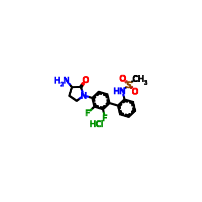 CS(=O)(=O)Nc1ccccc1-c1ccc(N2CCC(N)C2=O)c(F)c1F.Cl